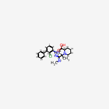 C=N/C(=N/Nc1cccc(-c2ccccc2)c1Cl)C(C)(C)N1CCCCC1C(=O)O